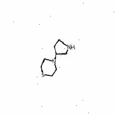 C1C[C@H](N2CCSCC2)CN1